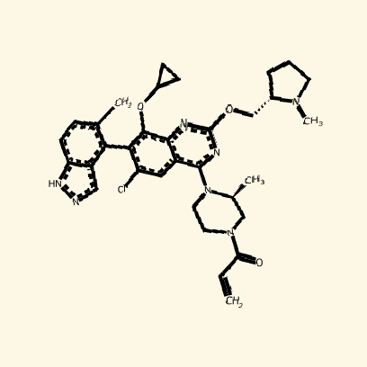 C=CC(=O)N1CCN(c2nc(OC[C@@H]3CCCN3C)nc3c(OC4CC4)c(-c4c(C)ccc5[nH]ncc45)c(Cl)cc23)[C@@H](C)C1